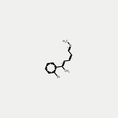 CCc1ccccc1/C(C)=C/C=C\C=N\C